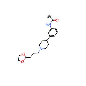 CC(C)C(=O)Nc1cccc(C2CCN(CCCC3OCCO3)CC2)c1